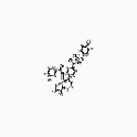 CNC(=O)N1CCCN(c2ccc(C(=O)NC(Cl)Cc3ccc(Cl)cc3)cc2NC(=O)c2cccc(Cl)c2)CC1